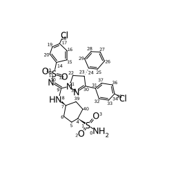 NS(=O)(=O)[C@H]1CC[C@@H](N/C(=N/S(=O)(=O)c2ccc(Cl)cc2)N2C[C@H](c3ccccc3)C(c3ccc(Cl)cc3)=N2)CC1